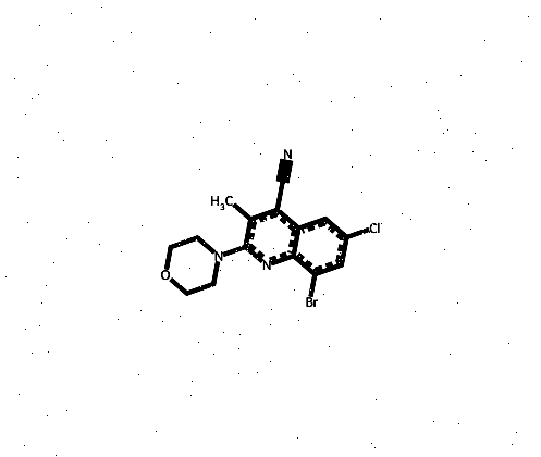 Cc1c(N2CCOCC2)nc2c(Br)cc(Cl)cc2c1C#N